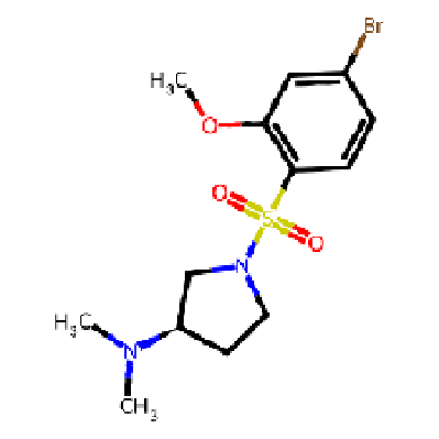 COc1cc(Br)ccc1S(=O)(=O)N1CC[C@@H](N(C)C)C1